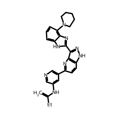 C=C(CC)Nc1cncc(-c2ccc3[nH]nc(-c4nc5c(N6CCCCC6)cccc5[nH]4)c3n2)c1